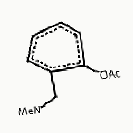 CNCc1ccccc1OC(C)=O